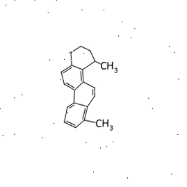 Cc1cccc2c1ccc1c3c(ccc12)CCCC3C